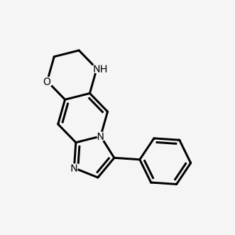 c1ccc(-c2cnc3cc4c(cn23)NCCO4)cc1